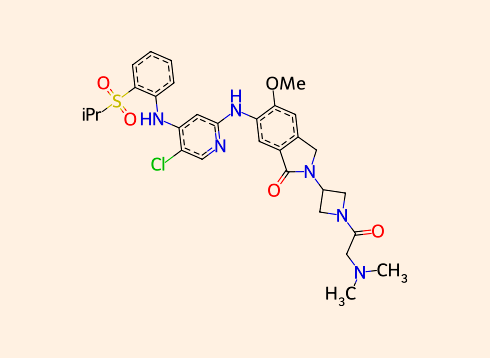 COc1cc2c(cc1Nc1cc(Nc3ccccc3S(=O)(=O)C(C)C)c(Cl)cn1)C(=O)N(C1CN(C(=O)CN(C)C)C1)C2